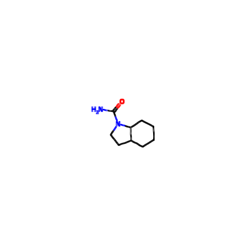 NC(=O)N1CCC2CCCCC21